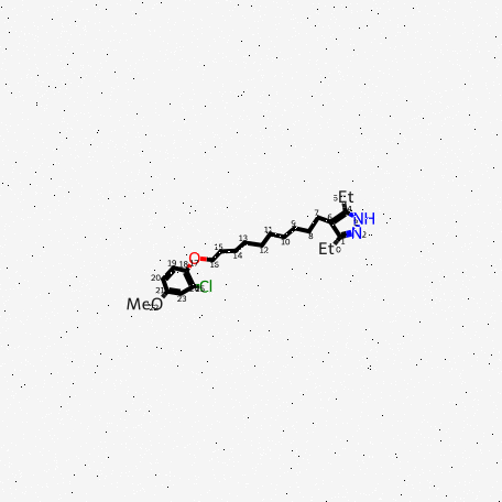 CCc1n[nH]c(CC)c1CCCCCCCCCCOc1ccc(OC)cc1Cl